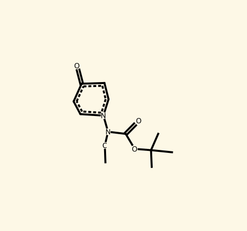 CCN(C(=O)OC(C)(C)C)n1ccc(=O)cc1